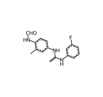 C=C(Nc1cccc(F)c1)Nc1ccc(NC=O)c(C)c1